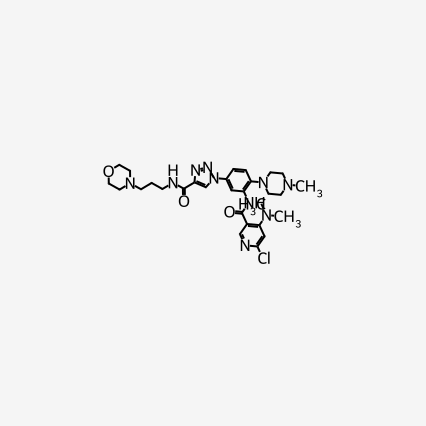 CN1CCN(c2ccc(-n3cc(C(=O)NCCCN4CCOCC4)nn3)cc2NC(=O)c2cnc(Cl)cc2N(C)C)CC1